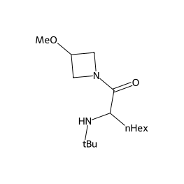 CCCCCCC(NC(C)(C)C)C(=O)N1CC(OC)C1